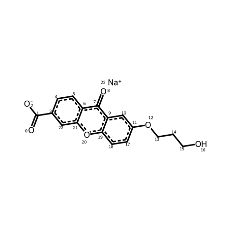 O=C([O-])c1ccc2c(=O)c3cc(OCCCO)ccc3oc2c1.[Na+]